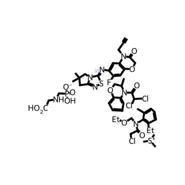 C#CCN1C(=O)COc2cc(F)c(/N=c3\snc4n3CC(C)(C)C4)cc21.CC1COc2ccccc2N1C(=O)C(Cl)Cl.CCOCN(C(=O)CCl)c1c(C)cccc1CC.C[S+](C)C.O=C(O)CNCP(=O)([O-])O